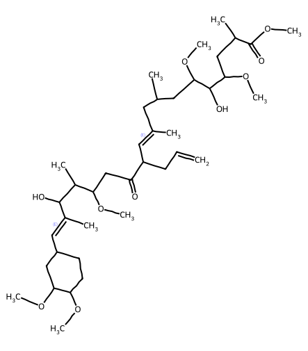 C=CCC(/C=C(\C)CC(C)CC(OC)C(O)C(CC(C)C(=O)OC)OC)C(=O)CC(OC)C(C)C(O)/C(C)=C/C1CCC(OC)C(OC)C1